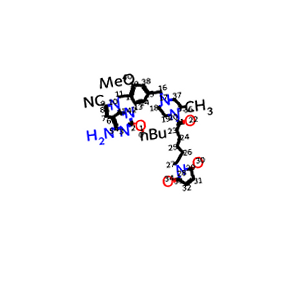 CCCCOc1nc(N)c2cc(C#N)n(Cc3ccc(CN4CCN(C(=O)CCCCCN5C(=O)C=CC5=O)[C@@H](C)C4)cc3OC)c2n1